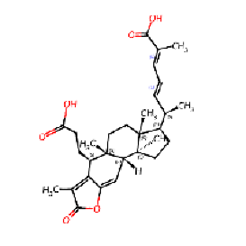 CC1=C2C(=C[C@@H]3[C@@](C)(CC[C@]4(C)[C@@H]([C@H](C)/C=C/C=C(\C)C(=O)O)CC[C@@]34C)[C@@H]2CCC(=O)O)OC1=O